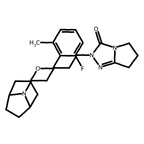 Cc1cccc(F)c1COC1CC2CCC(C1)N2CCCCCn1nc2n(c1=O)CCC2